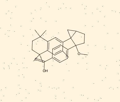 COC1(c2ccc(C(=O)O)cc2)CCC2CC21c1cc2c(cc1C)C(C)(C)CCC2(C)C